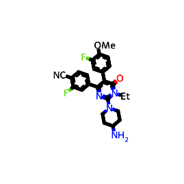 CCn1c(N2CCC(N)CC2)nc(-c2ccc(C#N)c(F)c2)c(-c2ccc(OC)c(F)c2)c1=O